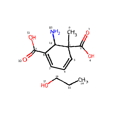 CC1(C(=O)O)C=CC=C(C(=O)O)C1N.CCCO